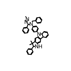 C=N/N=C(/c1ccccc1)N(Cc1ccccc1)c1ccc(N2c3cc4c(cc3C3C=CC=CC32)NC(c2ccccc2)C4(C)C)cc1